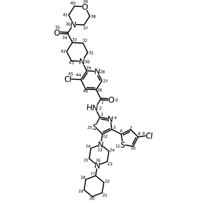 O=C(Nc1nc(-c2cc(Cl)cs2)c(N2CCN(C3CCCCC3)CC2)s1)c1cnc(N2CCC(C(=O)N3CCOCC3)CC2)c(Cl)c1